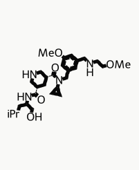 COCCNCc1cc(CN(C(=O)[C@H]2CNC[C@@H](C(=O)NC(CO)CC(C)C)C2)C2CC2)cc(OC)c1